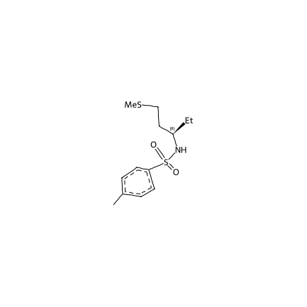 CC[C@H](CCSC)NS(=O)(=O)c1ccc(C)cc1